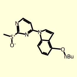 CCCCOc1cccc2c1ccn2-c1ccnc([S+](C)[O-])n1